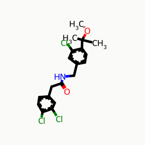 COC(C)(C)c1ccc(CNC(=O)Cc2ccc(Cl)c(Cl)c2)cc1Cl